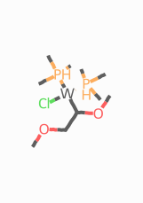 COC[CH](OC)[W]([Cl])([PH](C)(C)C)[PH](C)(C)C